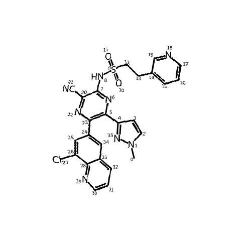 Cn1ccc(-c2nc(NS(=O)(=O)CCc3cccnc3)c(C#N)nc2-c2cc(Cl)c3ncccc3c2)n1